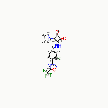 O=c1c(NCc2ccc(-c3noc(C(F)(F)F)n3)c(F)c2)c(N2CCCC2)c1=O